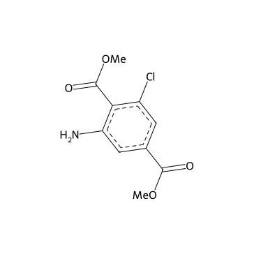 COC(=O)c1cc(N)c(C(=O)OC)c(Cl)c1